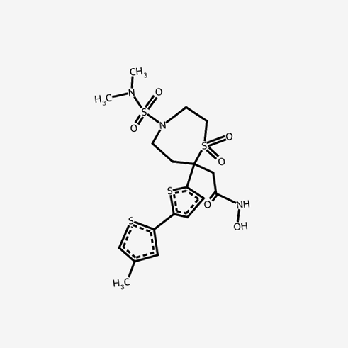 Cc1csc(-c2ccc(C3(CC(=O)NO)CCN(S(=O)(=O)N(C)C)CCS3(=O)=O)s2)c1